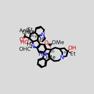 CC[C@]1(O)CC2CN(CCc3c([nH]c4ccccc34)[C@@](C(=O)OC)(c3cc4c(cc3OC)N(C=O)[C@H]3[C@@](O)(C(=O)OC)[C@H](OC(C)=O)[C@@]5(CC)C=CCN6CC[C@]43[C@@H]65)C2)C1